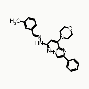 Cc1cccc(C=NNc2cc(N3CCOCC3)c3nc(-c4ccccc4)cn3n2)c1